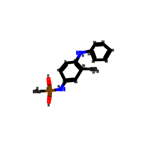 CCCCS(=O)(=O)Nc1ccc(Nc2ccccc2)c([N+](=O)[O-])c1